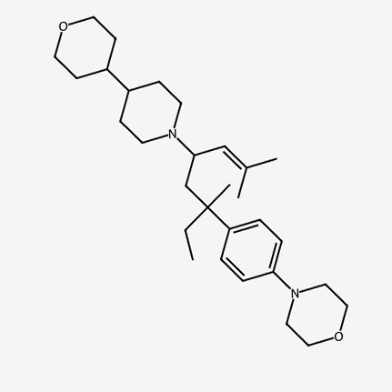 CCC(C)(CC(C=C(C)C)N1CCC(C2CCOCC2)CC1)c1ccc(N2CCOCC2)cc1